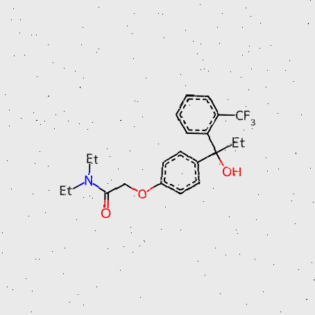 CCN(CC)C(=O)COc1ccc(C(O)(CC)c2ccccc2C(F)(F)F)cc1